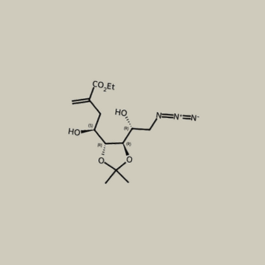 C=C(C[C@H](O)[C@H]1OC(C)(C)O[C@@H]1[C@H](O)CN=[N+]=[N-])C(=O)OCC